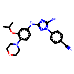 CC(C)Oc1cc(Nc2nc(N)n(-c3ccc(C#N)cc3)n2)ccc1N1CCOCC1